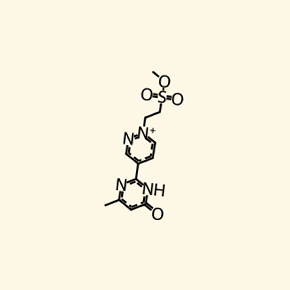 COS(=O)(=O)CC[n+]1ccc(-c2nc(C)cc(=O)[nH]2)cn1